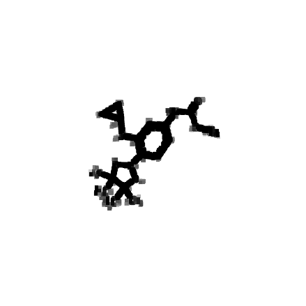 CC(C)(C)OC(=O)Nc1ccc(B2OC(C)(C)C(C)(C)O2)c(SC2CC2)c1